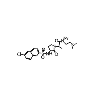 CC(C)N(CCN(C)C)C(=O)C(C)N1CCC(NS(=O)(=O)c2ccc3cc(Cl)ccc3c2)C1=O